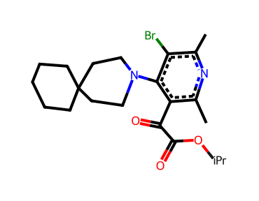 Cc1nc(C)c(C(=O)C(=O)OC(C)C)c(N2CCC3(CCCCC3)CC2)c1Br